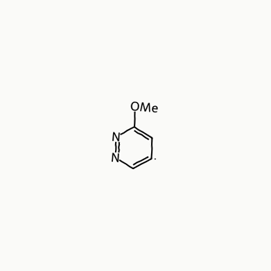 COc1c[c]cnn1